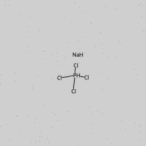 Cl[PH](Cl)(Cl)Cl.[NaH]